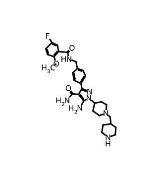 COc1ccc(F)cc1C(=O)NCc1ccc(-c2nn(C3CCN(CC4CCNCC4)CC3)c(N)c2C(N)=O)cc1